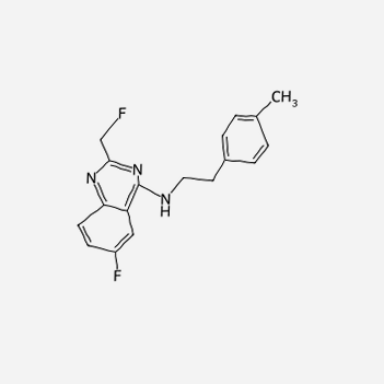 Cc1ccc(CCNc2nc(CF)nc3ccc(F)cc23)cc1